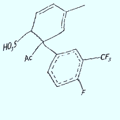 CC(=O)C1(c2ccc(F)c(C(F)(F)F)c2)C=C(C)C=CC1S(=O)(=O)O